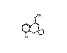 ON=C1CC2(CCC2)Oc2c(Cl)cccc21